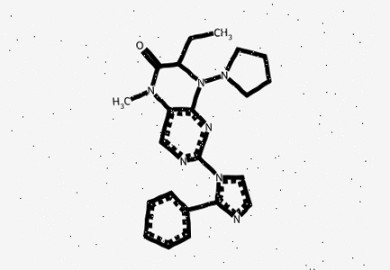 CCC1C(=O)N(C)c2cnc(-n3ccnc3-c3ccccc3)nc2N1N1CCCC1